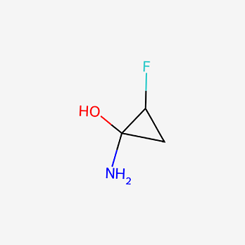 NC1(O)CC1F